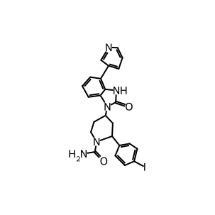 NC(=O)N1CCC(n2c(=O)[nH]c3c(-c4cccnc4)cccc32)CC1c1ccc(I)cc1